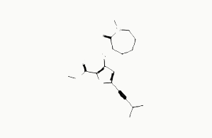 COC(=O)c1sc(C#CC(C)C)cc1N[C@H]1CCCCN(C)C1=O